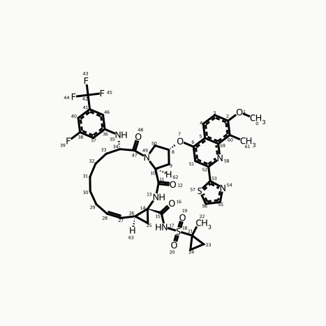 COc1ccc2c(O[C@@H]3C[C@H]4C(=O)N[C@]5(C(=O)NS(=O)(=O)C6(C)CC6)C[C@H]5/C=C\CCCCC[C@H](Nc5cc(F)cc(C(F)(F)F)c5)C(=O)N4C3)cc(-c3nccs3)nc2c1C